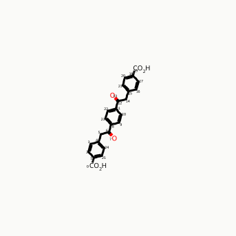 O=C(O)c1ccc(CC(=O)c2ccc(C(=O)Cc3ccc(C(=O)O)cc3)cc2)cc1